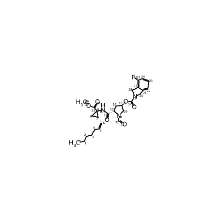 CCCCC/C=C\[C@@H]1CC1(NC(=O)[C@@H]1C[C@@H](OC(=O)N2Cc3cccc(F)c3C2)CN1C=O)C(=O)OC